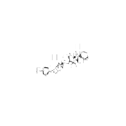 Cc1nc(Nc2ccccc2)n(C)c(=O)c1CCN1CC2CC(c3ccc(F)cc3)C2C1